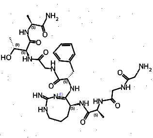 C[C@H](NC(=O)[C@@H](NC(=O)CNC(=O)[C@H](Cc1ccccc1)N/C1=N/C(=N)NCCC[C@@H]1NC(=O)[C@H](C)NC(=O)CNC(=O)CN)[C@@H](C)O)C(N)=O